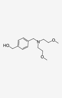 COCCN(CCOC)Cc1ccc(CO)cc1